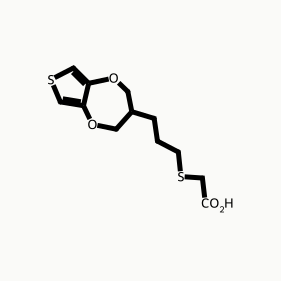 O=C(O)CSCCCC1COc2cscc2OC1